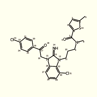 Cc1ccc(C(=O)N(C)CCCn2c(=N)n(CC(=O)c3ccc(Cl)cc3)c3cccc(Cl)c32)s1